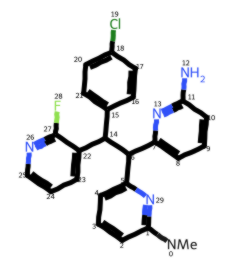 CNc1cccc(C(c2cccc(N)n2)C(c2ccc(Cl)cc2)c2cccnc2F)n1